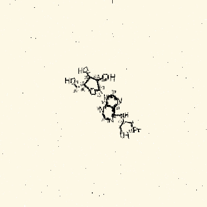 CC(C)C[C@@H](CO)Nc1ncnc2c1ncn2[C@@H]1O[C@H](CO)C(O)C1O